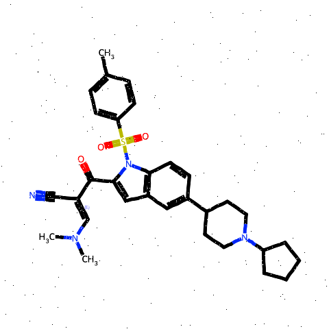 Cc1ccc(S(=O)(=O)n2c(C(=O)/C(C#N)=C/N(C)C)cc3cc(C4CCN(C5CCCC5)CC4)ccc32)cc1